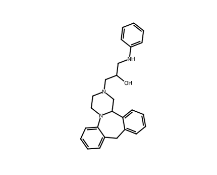 OC(CNc1ccccc1)CN1CCN2c3ccccc3Cc3ccccc3C2C1